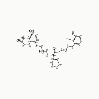 O=C(CCOCCc1cccc(F)c1F)N(CCNCCc1ccc(O)c2[nH]c(=O)ccc12)C1CCCCC1